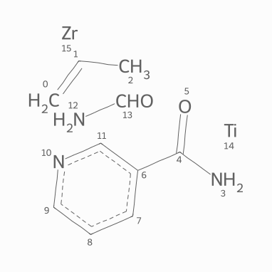 C=CC.NC(=O)c1cccnc1.NC=O.[Ti].[Zr]